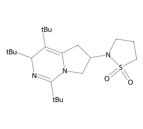 CC(C)(C)C1=NC(C(C)(C)C)C(C(C)(C)C)=C2CC(N3CCCS3(=O)=O)CN12